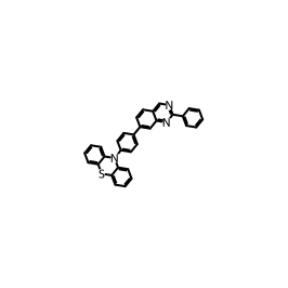 c1ccc(-c2ncc3ccc(-c4ccc(N5c6ccccc6Sc6ccccc65)cc4)cc3n2)cc1